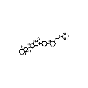 N=C(N)SCC[C@@H]1CCC[C@@H](c2ccc(-n3cc4cc(C5C[C@H]6CCCC[C@@H]6N5)[nH]c4nc3=O)cc2)N1